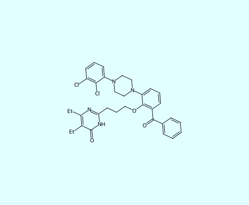 CCc1nc(CCCOc2c(C(=O)c3ccccc3)cccc2N2CCN(c3cccc(Cl)c3Cl)CC2)[nH]c(=O)c1CC